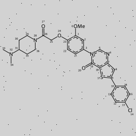 COc1cc(-n2cnc3cc(-c4ccc(Cl)cc4)sc3c2=O)ccc1OCC(=O)N1CCC(N(C)C)CC1